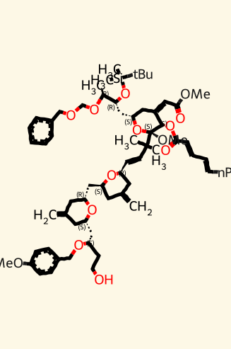 C=C1C[C@H](C[C@@H]2CC(=C)C[C@H](C=CC(C)(C)[C@]3(OC)O[C@H](C[C@@H](O[Si](C)(C)C(C)(C)C)[C@@H](C)OCOCc4ccccc4)CC(=CC(=O)OC)[C@@H]3OC(=O)C=CC=CCCC)O2)O[C@H](C[C@H](CCO)OCc2ccc(OC)cc2)C1